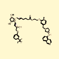 Cc1ccc(CN2CC[C@@H](Nc3cccc4cnccc34)C2)cc1OCCOC(=O)CCC/C=C/C[C@@H]1[C@@H](/C=C/[C@@H](O)COc2cccc(C(F)(F)F)c2)[C@H](O)C[C@@H]1O